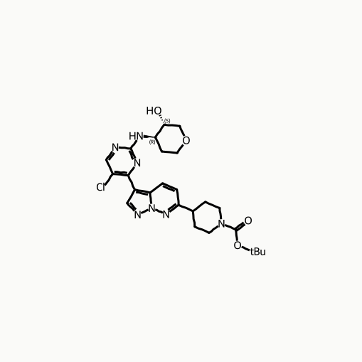 CC(C)(C)OC(=O)N1CCC(c2ccc3c(-c4nc(N[C@@H]5CCOC[C@H]5O)ncc4Cl)cnn3n2)CC1